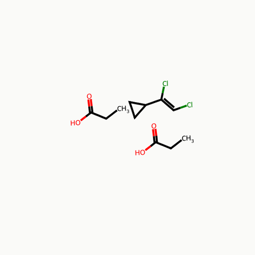 CCC(=O)O.CCC(=O)O.ClC=C(Cl)C1CC1